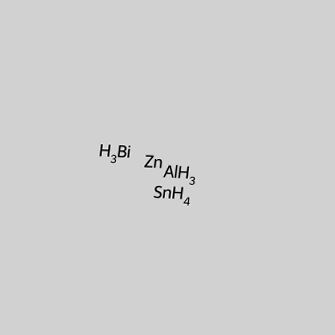 [AlH3].[BiH3].[SnH4].[Zn]